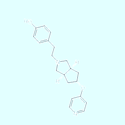 Oc1ccc(CCN2C[C@H]3C[C@H](Oc4ccncc4)C[C@H]3C2)cc1